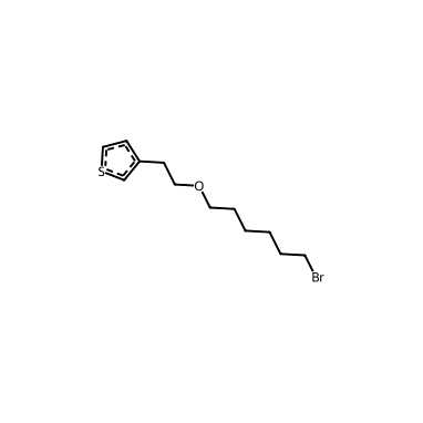 BrCCCCCCOCCc1ccsc1